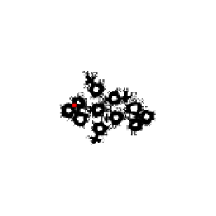 CC(C)(C)c1ccc(N2c3ccc(N4c5ccccc5C5(c6ccccc6)CCCCC45C)cc3B3c4cc(C(C)(C)C)ccc4N(c4ccc(C(C)(C)C)cc4)c4cc(N5c6ccccc6C6(c7ccccc7)CCCCC56C)cc2c43)cc1